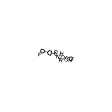 O=C(CN1C[C@@H]2C[C@](O)(Cc3ccccc3)C[C@@H]2C1)c1ccc(-c2cccc(F)c2)cc1